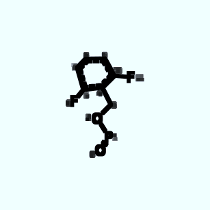 O=POCc1c(F)cccc1F